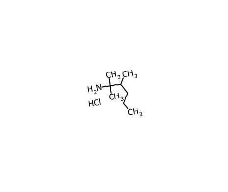 CCCC(C)C(C)(C)N.Cl